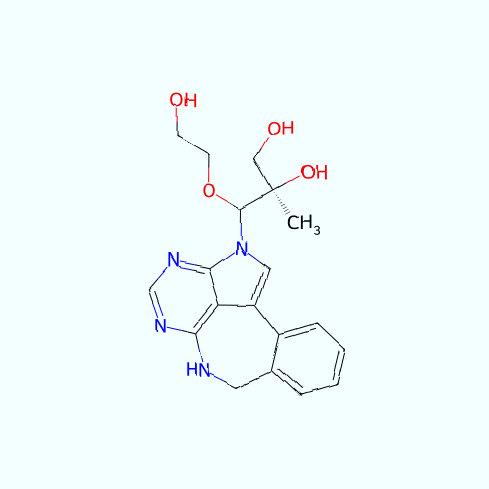 C[C@@](O)(CO)C(OCCO)n1cc2c3c(ncnc31)NCc1ccccc1-2